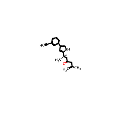 C#Cc1cccc(C2=CBC([C@H](C)CC(=O)CC(=C)C)=C2)c1